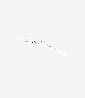 CCCCCCCCCCCCCCc1cnc(-c2ccc(OCCC(F)CCCC)cc2)nc1